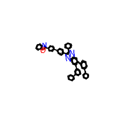 c1ccc(-c2cccc(-c3cc4nc(-c5ccccc5)c(-c5ccc(-c6ccc(-c7nc8ccccc8o7)cc6)cc5)nc4cc3-c3cccc(-c4ccccc4)c3)c2)cc1